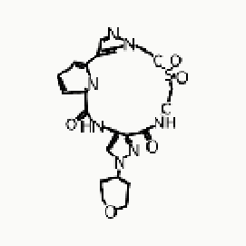 O=C1Nc2cn(C3CCOCC3)nc2C(=O)NCCS(=O)(=O)CCn2cc(cn2)-c2cccc1n2